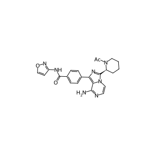 CC(=O)N1CCCC[C@H]1c1nc(-c2ccc(C(=O)Nc3ccon3)cc2)c2c(N)nccn12